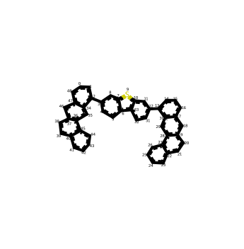 c1cc(-c2ccc3c(c2)sc2cc(-c4cccc5cc6ccc7ccccc7c6cc45)ccc23)c2cc3c(ccc4ccccc43)cc2c1